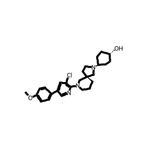 COc1ccc(-c2cnc(N3CCC[C@]4(CCN([C@H]5CC[C@@H](O)CC5)C4)C3)c(Cl)c2)cc1